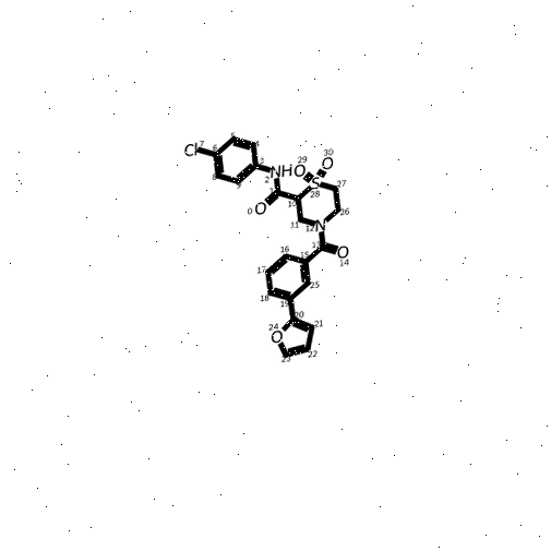 O=C(Nc1ccc(Cl)cc1)C1CN(C(=O)c2cccc(-c3ccco3)c2)CCS1(=O)=O